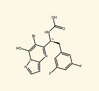 O=C(O)N[C@@H](Cc1cc(F)cc(F)c1)c1nc2ccnn2c(O)c1Br